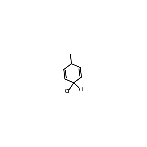 [CH2]C1C=CC(Cl)(Cl)C=C1